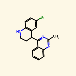 Cc1nc(C2CCNc3ccc(Br)cc32)c2ccccc2n1